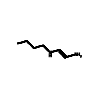 CCCCNC=CN